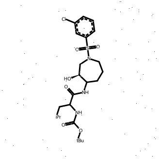 CC(C)CC(NC(=O)OC(C)(C)C)C(=O)NC1CCCN(S(=O)(=O)c2cccc(Cl)c2)C[C@@H]1O